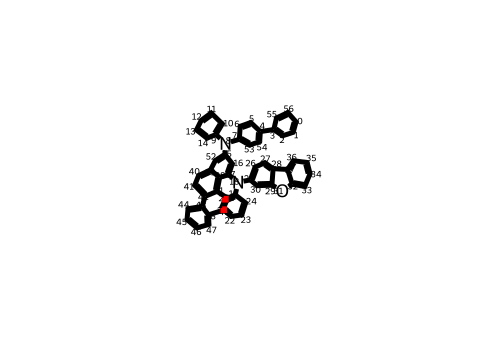 c1ccc(-c2ccc(N(c3ccccc3)c3cc(N(c4ccccc4)c4ccc5c(c4)oc4ccccc45)c4c(ccc5c6ccccc6ccc54)c3)cc2)cc1